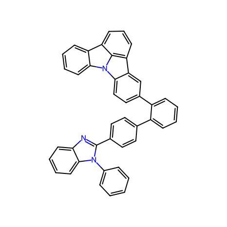 c1ccc(-n2c(-c3ccc(-c4ccccc4-c4ccc5c(c4)c4cccc6c7ccccc7n5c64)cc3)nc3ccccc32)cc1